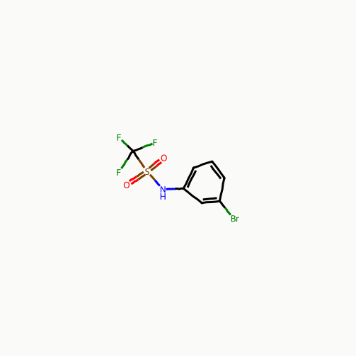 O=S(=O)(Nc1cccc(Br)c1)C(F)(F)F